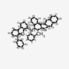 Cc1ccccc1N(c1cc2sc3cc4ccccc4cc3c2c2ccccc12)c1cccc2c1oc1c(-c3ccccc3)cccc12